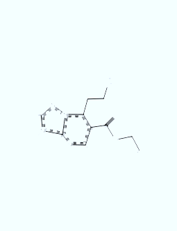 CCOC(=O)c1cnc2ncnn2c1CCO